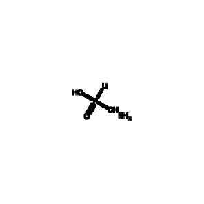 N.[Li][P](=O)(O)O